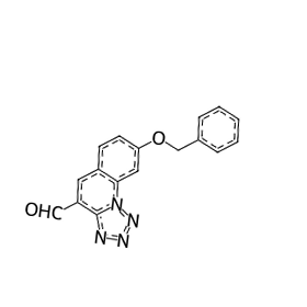 O=Cc1cc2ccc(OCc3ccccc3)cc2n2nnnc12